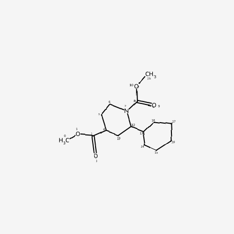 COC(=O)C1CCN(C(=O)OC)C(C2CCCCC2)C1